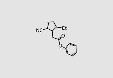 [CH2]CC1C[CH]C(C#N)C1CC(=O)Oc1ccccc1